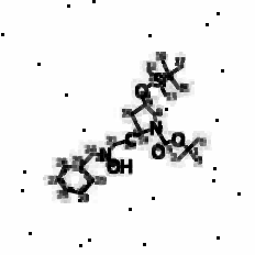 CC(C)(C)OC(=O)N1CC(O[Si](C)(C)C(C)(C)C)C[C@@H]1CCN(O)Cc1ccccc1